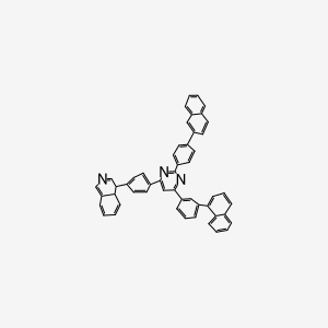 C1=CC2=CN=CC(c3ccc(-c4cc(-c5cccc(-c6cccc7ccccc67)c5)nc(-c5ccc(-c6ccc7ccccc7c6)cc5)n4)cc3)C2C=C1